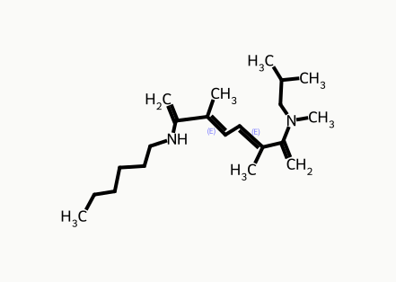 C=C(NCCCCCC)/C(C)=C/C=C(\C)C(=C)N(C)CC(C)C